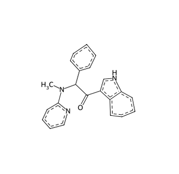 CN(c1ccccn1)C(C(=O)c1c[nH]c2ccccc12)c1ccccc1